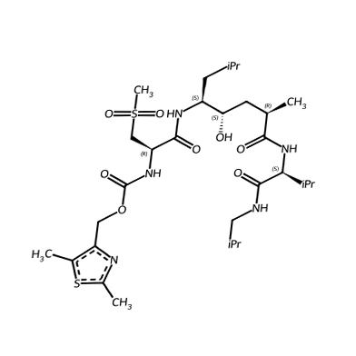 Cc1nc(COC(=O)N[C@@H](CS(C)(=O)=O)C(=O)N[C@@H](CC(C)C)[C@@H](O)C[C@@H](C)C(=O)N[C@H](C(=O)NCC(C)C)C(C)C)c(C)s1